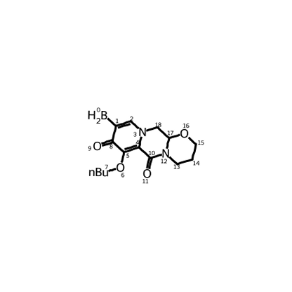 Bc1cn2c(c(OCCCC)c1=O)C(=O)N1CCCOC1C2